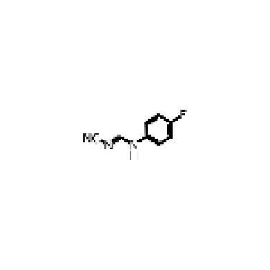 N#CN=CNc1ccc(F)cc1